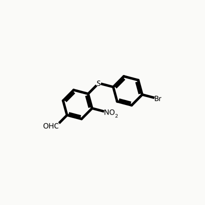 O=Cc1ccc(Sc2ccc(Br)cc2)c([N+](=O)[O-])c1